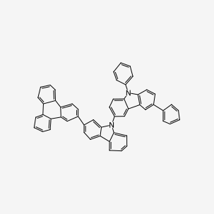 c1ccc(-c2ccc3c(c2)c2cc(-n4c5ccccc5c5ccc(-c6ccc7c8ccccc8c8ccccc8c7c6)cc54)ccc2n3-c2ccccc2)cc1